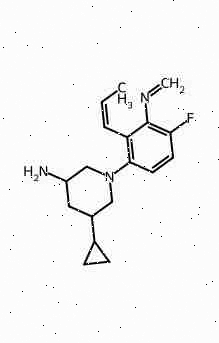 C=Nc1c(F)ccc(N2CC(N)CC(C3CC3)C2)c1/C=C\C